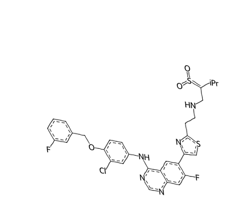 CC(C)C(CNCCc1nc(-c2cc3c(Nc4ccc(OCc5cccc(F)c5)c(Cl)c4)ncnc3cc2F)cs1)=S(=O)=O